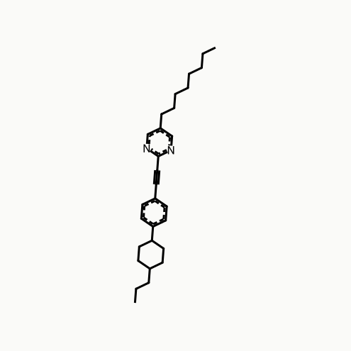 CCCCCCCCc1cnc(C#Cc2ccc(C3CCC(CCC)CC3)cc2)nc1